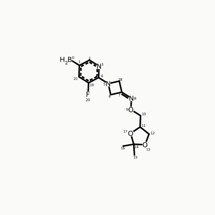 Bc1cnc(N2CC(=NOCC3COC(C)(C)O3)C2)c(F)c1